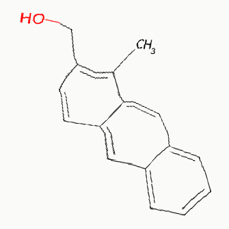 Cc1c(CO)ccc2cc3ccccc3cc12